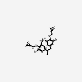 CC(Cc1cc(Br)c(OCC2CO2)c(Br)c1)c1cc(Br)c(OCC2CO2)c(Br)c1